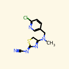 CN(Cc1ccc(Cl)nc1)C1=N/C(=N/C#N)SC1